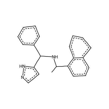 CC(NC(c1ccccc1)c1ccn[nH]1)c1cccc2ccccc12